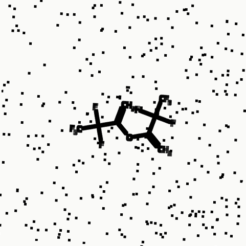 C=C(OC(=C)C(F)(F)C(F)(F)F)C(F)(F)C(F)(F)F